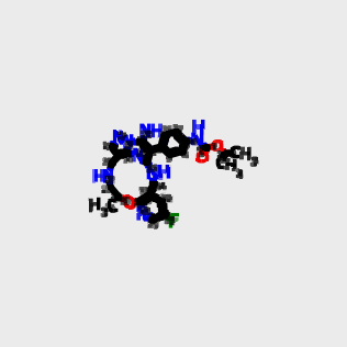 CC(C)OC(=O)Nc1ccc(-c2c3nc4c(cnn4c2N)CNC[C@H](C)Oc2ncc(F)cc2CN3)cc1